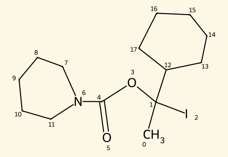 CC(I)(OC(=O)N1CCCCC1)C1CCCCC1